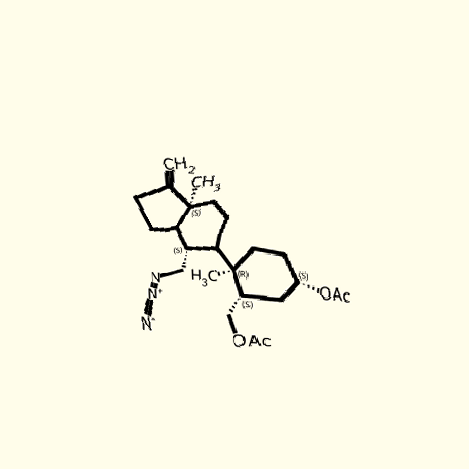 C=C1CCC2[C@@H](CN=[N+]=[N-])C([C@@]3(C)CC[C@H](OC(C)=O)C[C@@H]3COC(C)=O)CC[C@]12C